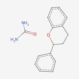 NC(N)=O.c1ccc(C2CCc3ccccc3O2)cc1